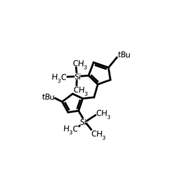 CC(C)(C)C1=CC([Si](C)(C)C)=C(CC2=C([Si](C)(C)C)C=C(C(C)(C)C)C2)C1